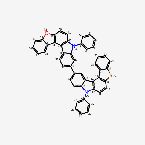 c1ccc(-n2c3cc(-c4ccc5c(c4)c4c6c(ccc4n5-c4ccccc4)sc4ccccc46)ccc3c3c4c(ccc32)oc2ccccc24)cc1